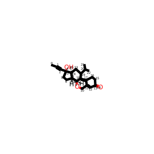 CC#C[C@]1(O)CC[C@H]2[C@@H]3OCC4=CC(=O)CCC4=C3C(C(C)C)C[C@@]21C